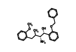 COc1ccccc1CC(C)[C@@H](N)[C@H](O)c1ccccc1OCc1ccccc1